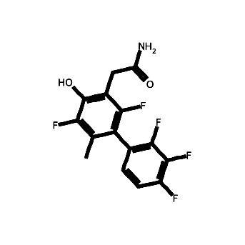 Cc1c(F)c(O)c(CC(N)=O)c(F)c1-c1ccc(F)c(F)c1F